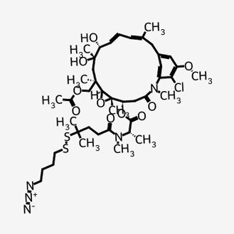 COc1cc2cc(c1Cl)N(C)C(=O)C[C@H](OC(=O)[C@H](C)N(C)C(=O)CCC(C)(C)SSCCCCN=[N+]=[N-])[C@]1(C)O[C@H]1[C@@](C)(COC(C)=O)C[C@](C)(O)[C@H](O)/C=C/C=C(\C)C2